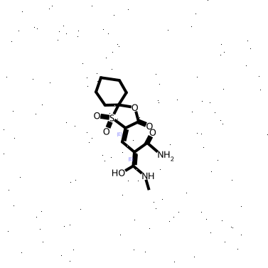 CN/C(O)=C(/C=C1\C(=O)OC2(CCCCC2)S1(=O)=O)C(N)=O